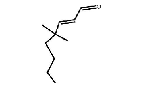 CCCCC(C)(C)C=CC=O